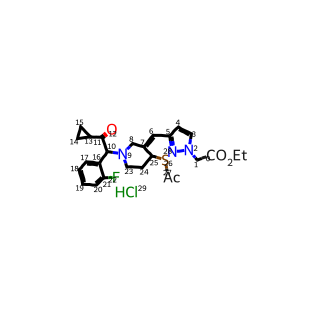 CCOC(=O)Cn1ccc(C=C2CN(C(C(=O)C3CC3)c3ccccc3F)CCC2SC(C)=O)n1.Cl